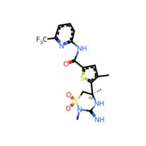 Cc1cc(C(=O)Nc2cccc(C(F)(F)F)n2)sc1[C@]1(C)CS(=O)(=O)N(C)C(=N)N1